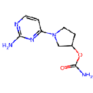 NC(=O)OC1CCN(c2ccnc(N)n2)C1